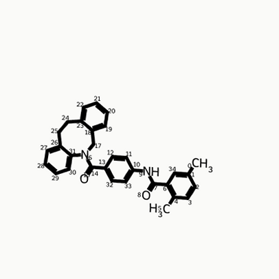 Cc1ccc(C)c(C(=O)Nc2ccc(C(=O)N3Cc4ccccc4CCc4ccccc43)cc2)c1